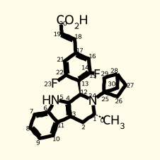 C[C@@H]1Cc2c([nH]c3ccccc23)[C@@H](c2c(F)cc(/C=C/C(=O)O)cc2F)N1C12CCC(C1)C2